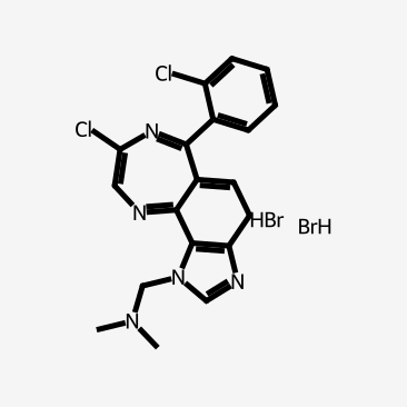 Br.Br.CN(C)Cn1cnc2c1C1=NC=C(Cl)N=C(c3ccccc3Cl)C1=CC2